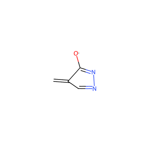 C=C1C=NN=C1[O]